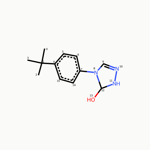 CC(C)(C)c1ccc(N2C=NNC2O)cc1